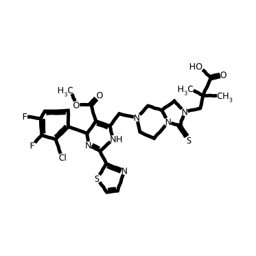 COC(=O)C1=C(CN2CCN3C(=S)N(CC(C)(C)C(=O)O)CC3C2)NC(c2nccs2)=NC1c1ccc(F)c(F)c1Cl